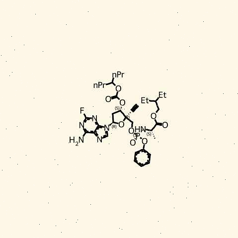 C#C[C@]1(CO[P@@](=O)(N[C@@H](C)C(=O)OCC(CC)CC)Oc2ccccc2)O[C@@H](n2cnc3c(N)nc(F)nc32)C[C@@H]1OC(=O)OC(CCC)CCC